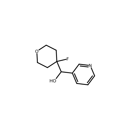 OC(c1cccnc1)C1(F)CCOCC1